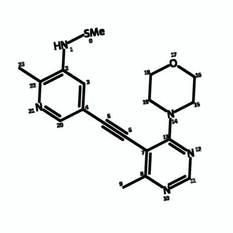 CSNc1cc(C#Cc2c(C)ncnc2N2CCOCC2)cnc1C